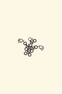 CC1(c2ccc(N3c4cc(N5c6ccccc6C6(C)CCCCC56C)cc5c4B4c6c3cccc6[Si](c3ccccc3)(c3ccccc3)c3cccc(c34)N5c3ccc(C4(C)C=C5CC6CC(C4)C56)cc3)cc2)C=C2CC3=CC(C1)C32